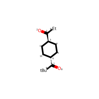 CCC(=O)[C@H]1CC[C@H](C(=O)C(C)(C)C)CC1